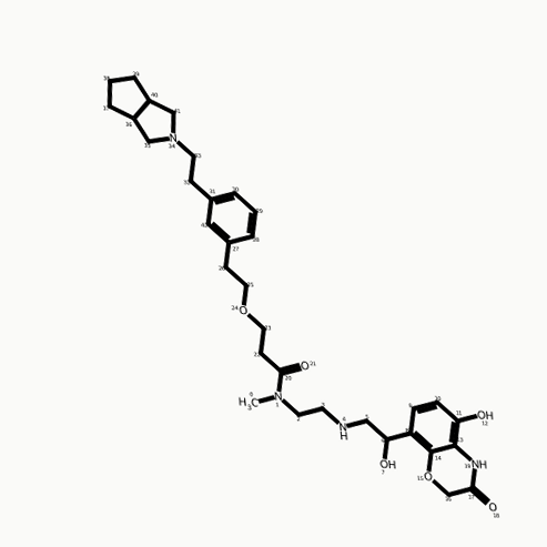 CN(CCNCC(O)c1ccc(O)c2c1OCC(=O)N2)C(=O)CCOCCc1cccc(CCN2CC3CCCC3C2)c1